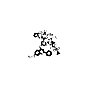 C=C[C@@H]1C[C@]1(NC(=O)[C@@H]1CC(Oc2cc(-c3ccccc3)nc3cc(OC)ccc23)CN1C(=O)[C@H](CN1CC=CC1=O)NC(=O)OC(C)(C)C)C(=O)NS(=O)(=O)C1CC1